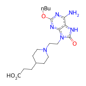 CCCCOc1nc(N)c2[nH]c(=O)n(CCN3CCC(CCC(=O)O)CC3)c2n1